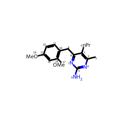 CCCc1c(C)nc(N)nc1Cc1ccc(OC)cc1OC